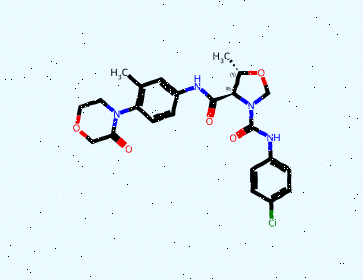 Cc1cc(NC(=O)[C@H]2[C@H](C)OCN2C(=O)Nc2ccc(Cl)cc2)ccc1N1CCOCC1=O